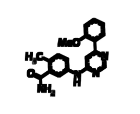 COc1ccccc1-c1cc(Nc2ccc(C)c(C(N)=O)c2)ncn1